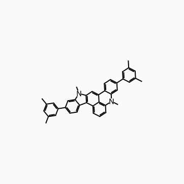 Cc1cc(C)cc(-c2ccc3c(c2)N(C)c2cccc4c2c-3cc2c4c3ccc(-c4cc(C)cc(C)c4)cc3n2C)c1